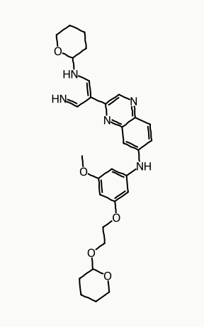 COc1cc(Nc2ccc3ncc(/C(C=N)=C/NC4CCCCO4)nc3c2)cc(OCCOC2CCCCO2)c1